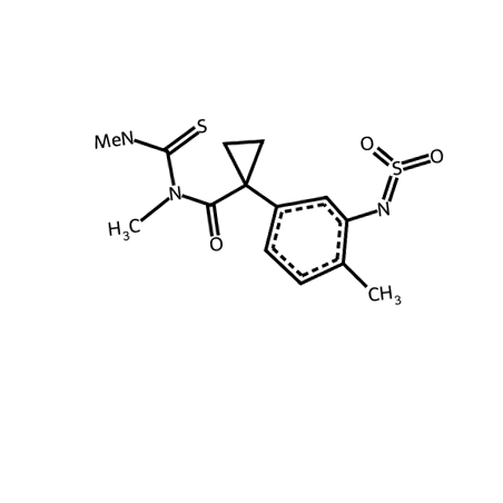 CNC(=S)N(C)C(=O)C1(c2ccc(C)c(N=S(=O)=O)c2)CC1